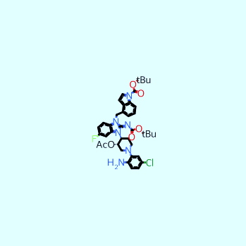 CC(=O)O[C@H]1CN(c2cc(Cl)ccc2N)CC[C@@H]1n1c(=NC(=O)OC(C)(C)C)n(Cc2cccc3c2ccn3C(=O)OC(C)(C)C)c2ccc(F)cc21